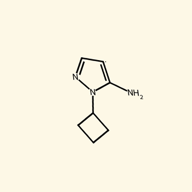 Nc1[c]cnn1C1CCC1